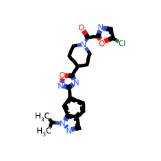 CC(C)n1ncc2ccc(-c3noc(C4CCN(C(=O)c5ncc(Cl)o5)CC4)n3)cc21